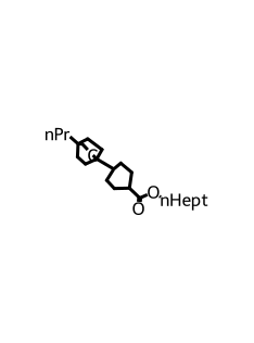 CCCCCCCOC(=O)C1CCC(C23CCC(CCC)(CC2)CC3)CC1